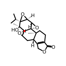 CC(C)[C@]12O[C@H]1[C@@H]1O[C@]13[C@]1(O[C@H]1C[C@H]1C4=C(CC[C@@]13C)C(=O)OC4)[C@@]2(C)O